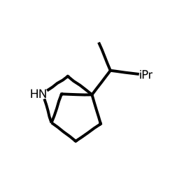 CC(C)C(C)C12CCC(C1)NC2